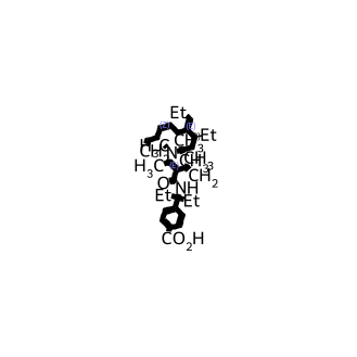 C=CC/C=C\C/C(=C\CC)[C@H](CC)CC(C)(C)N(C)/C(C)=C(\C(=C)C)C(=O)NC(CC)(CC)c1ccc(C(=O)O)cc1